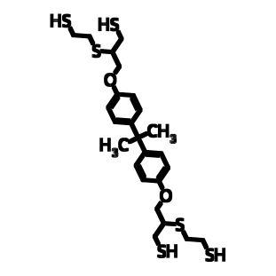 CC(C)(c1ccc(OCC(CS)SCCS)cc1)c1ccc(OCC(CS)SCCS)cc1